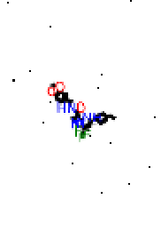 CCc1ccc([C@H]2C[C@@H](C(F)(F)F)n3ncc(C(=O)NCc4ccc5c(c4)OCCO5)c3N2)cc1